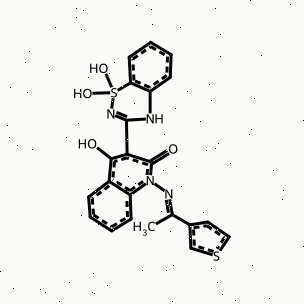 CC(=Nn1c(=O)c(C2=NS(O)(O)c3ccccc3N2)c(O)c2ccccc21)c1ccsc1